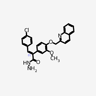 COc1cc(/C(=C\c2ccc(Cl)cc2)C(=O)NN)ccc1OCc1ccc2ccccc2n1